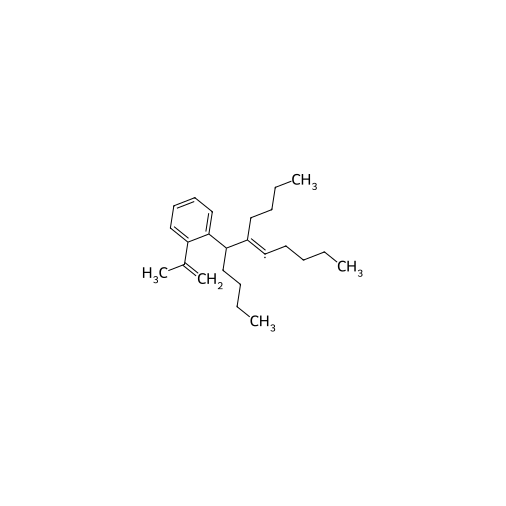 C=C(C)c1ccccc1C(CCCC)/C(=[C]/CCCC)CCCC